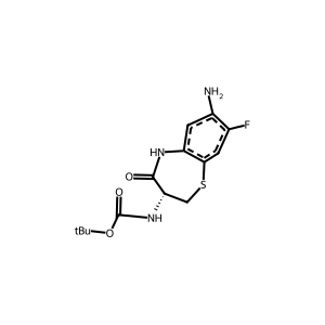 CC(C)(C)OC(=O)N[C@H]1CSc2cc(F)c(N)cc2NC1=O